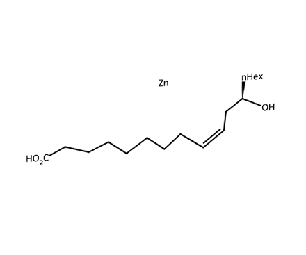 CCCCCC[C@@H](O)C/C=C\CCCCCCCC(=O)O.[Zn]